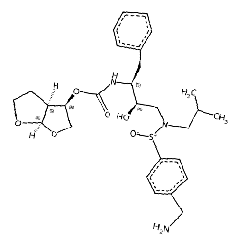 CC(C)CN(C[C@@H](O)[C@H](Cc1ccccc1)NC(=O)O[C@H]1CO[C@H]2OCC[C@H]21)[S+]([O-])c1ccc(CN)cc1